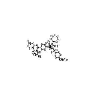 CCC(=O)N[C@@H](C(=O)N1CCN(C)CC1)[C@@H](C)c1ccc(NC(=O)[C@@H](NC(=O)C(F)(F)c2ccc(OC)nc2)C2CCCCCC2)c(F)c1